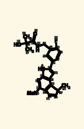 CNc1nc2[nH]c(-c3ccc(F)c(CNC(=O)C(C)(C)O)c3)cc2c2c1ncn2C